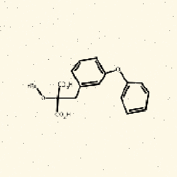 CC(C)(C)OC(Cc1cccc(Oc2ccccc2)c1)(C(=O)O)C(=O)O